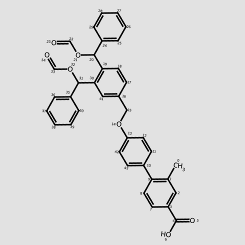 Cc1cc(C(=O)O)ccc1-c1ccc(OCc2ccc(C(OC=O)c3ccccc3)c(C(OC=O)c3ccccc3)c2)cc1